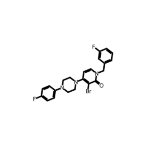 O=c1c(Br)c(N2CCN(c3ccc(F)cc3)CC2)ccn1Cc1cccc(F)c1